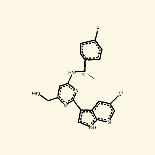 C[C@H](Nc1cc(CO)nc(-c2c[nH]c3ncc(Cl)cc23)n1)c1ccc(F)cc1